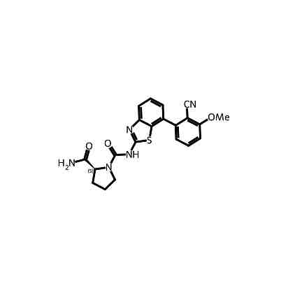 COc1cccc(-c2cccc3nc(NC(=O)N4CCC[C@H]4C(N)=O)sc23)c1C#N